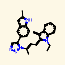 C=c1/c(=C\C=C(/C)n2nncc2-c2ccc3[nH]c(C)cc3c2)n(CC)c2ccccc12